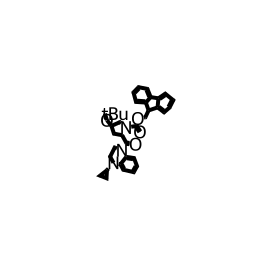 CC(C)(C)OC1CC(C(=O)N2CCN(C3CC3)c3ccccc32)N(C(=O)OCC2c3ccccc3-c3ccccc32)C1